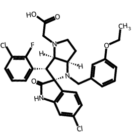 CCOc1cccc(CN2[C@@H]3CCN(CC(=O)O)[C@@H]3[C@@H](c3cccc(Cl)c3F)[C@@]23C(=O)Nc2cc(Cl)ccc23)c1